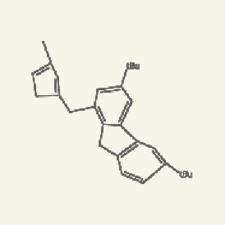 CC1=CCC(Cc2cc(C(C)(C)C)cc3c2Cc2ccc(C(C)(C)C)cc2-3)=C1